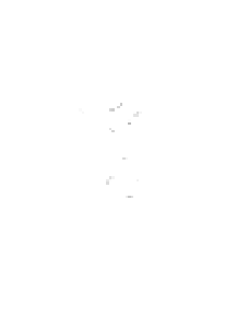 CCN1CCc2cc(NS(=O)(=O)c3ccc(C4CCCCO4)cc3)c(OC)nc2CC1